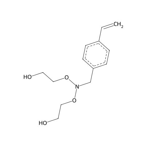 C=Cc1ccc(CN(OCCO)OCCO)cc1